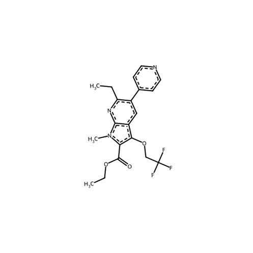 CCOC(=O)c1c(OCC(F)(F)F)c2cc(-c3ccncc3)c(CC)nc2n1C